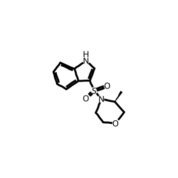 C[C@H]1COCCN1S(=O)(=O)c1c[nH]c2ccccc12